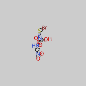 O=C(Nc1ccc(N2CCOCC2=O)cc1)O[C@@H]1C[C@@H](O)CN1C(=O)/C=C/c1cc(Br)cs1